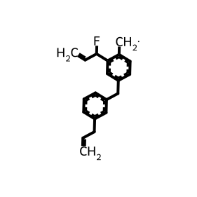 [CH2]c1ccc(Cc2cccc(CC=C)c2)cc1C(F)C=C